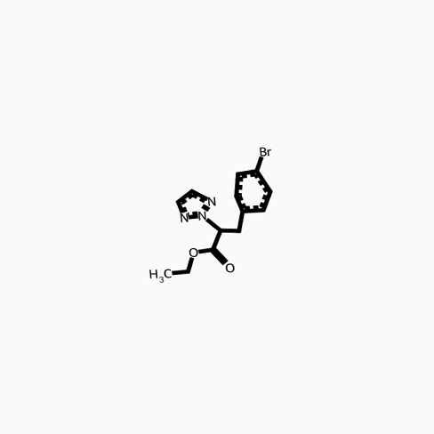 CCOC(=O)C(Cc1ccc(Br)cc1)n1nccn1